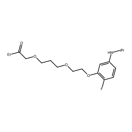 CCC(=O)COCCCOCCOc1cc(NC(C)C)ccc1F